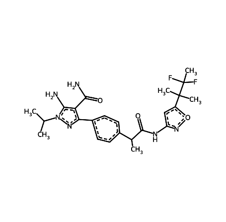 CC(C(=O)Nc1cc(C(C)(C)C(C)(F)F)on1)c1ccc(-c2nn(C(C)C)c(N)c2C(N)=O)cc1